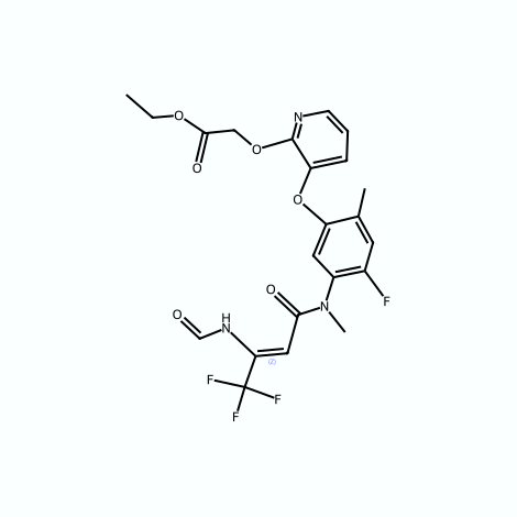 CCOC(=O)COc1ncccc1Oc1cc(N(C)C(=O)/C=C(\NC=O)C(F)(F)F)c(F)cc1C